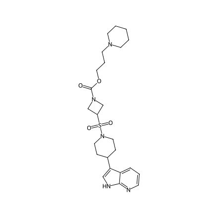 O=C(OCCCN1CCCCC1)N1CC(S(=O)(=O)N2CCC(c3c[nH]c4ncccc34)CC2)C1